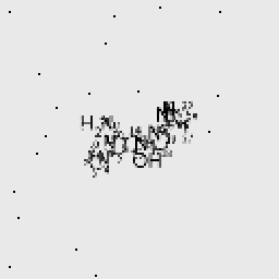 C[C@@H]1CCCN1c1cc2c(c(CN)n1)CN(c1cccc(-c3nnc4n3[C@H](C)CC4)n1)C2O